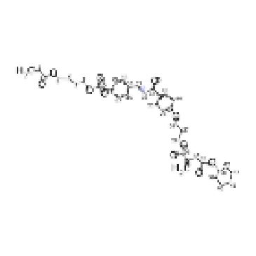 C=CC(=O)OCCCCOC(=O)Oc1ccc(/C=C/C(=O)c2ccc(OCCCOC(=O)C(=C)CC(=O)OC3CCCCC3)cc2)cc1